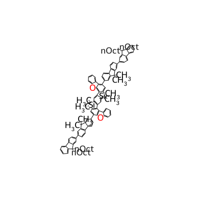 CCCCCCCCC1(CCCCCCCC)c2ccccc2-c2ccc(-c3ccc4c(c3)C(C)(C)c3cc(-c5cc6c(c7c5oc5ccccc57)-c5cc7c(cc5[Si]6(C)C)-c5c(cc(-c6ccc8c(c6)C(C)(C)c6cc(-c9ccc%10c(c9)C(CCCCCCCC)(CCCCCCCC)c9ccccc9-%10)ccc6-8)c6c5oc5ccccc56)[Si]7(C)C)ccc3-4)cc21